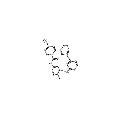 Cc1ccc(NC(=O)c2ccc(C(F)(F)F)nc2)cc1Nc1nccc(-c2cccnc2)n1